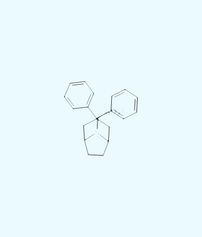 O=C(O)C1(c2ccccc2)CC2CCC(C1)N2Cc1ccccc1